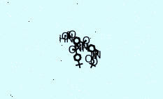 CC(C)(C)OC(=O)n1ncc2ccc(NC(=O)c3ccc(NS(C)(=O)=O)cc3NC(=O)c3ccc(C(C)(C)C)cc3)cc21